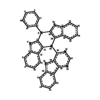 c1ccc(N2c3sc4ccccc4c3B(c3ncnc4c3sc3ccccc34)c3c2sc2ccccc32)cc1